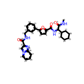 CNC(=O)C(NC(=O)c1ccc(-c2cccc(CNC(=O)c3cn4ccccc4n3)c2)o1)C1CCCCC1